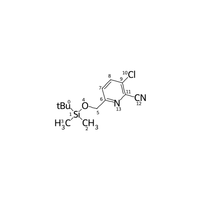 CC(C)(C)[Si](C)(C)OCc1ccc(Cl)c(C#N)n1